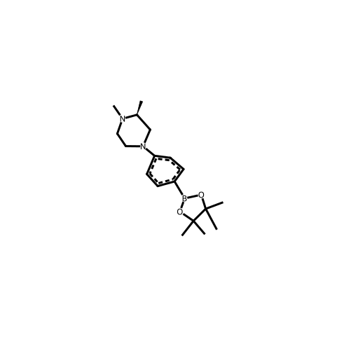 C[C@H]1CN(c2ccc(B3OC(C)(C)C(C)(C)O3)cc2)CCN1C